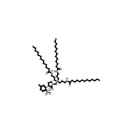 CCCCCCCCCCCCC(=O)NCCC[N+](CCCNC(=O)CCCCCCCCCCCC)(CCCNC(=O)CCCCCCCCCCCC)CN1CCCC1=O.Cc1ccc(S(=O)(=O)[O-])cc1